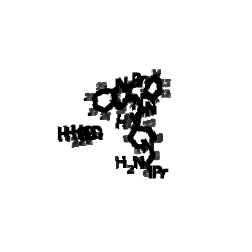 CC(C)C(N)CN1CCC(Nc2nc3ccccc3n2-c2cc3c(nc2Br)CCCC3)CC1.O.O.O